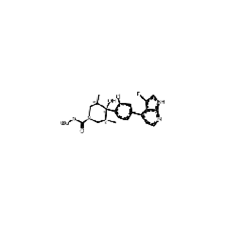 C[C@@H]1CN(C(=O)OC(C)(C)C)C[C@H](C)[C@@]1(O)c1ccc(-c2ccnc3[nH]cc(F)c23)cc1Cl